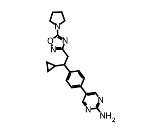 Nc1ncc(-c2ccc(C(Cc3noc(N4CCCC4)n3)C3CC3)cc2)cn1